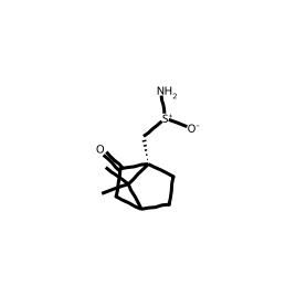 CC1(C)C2CC[C@]1(C[S+](N)[O-])C(=O)C2